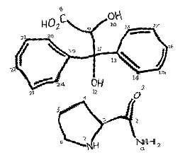 NC(=O)[C@@H]1CCCN1.O=C(O)C(O)C(O)(c1ccccc1)c1ccccc1